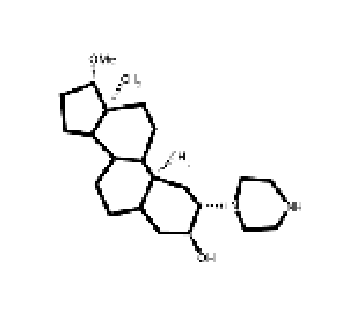 CO[C@H]1CCC2C3CCC4C[C@H](O)[C@@H](N5CCNCC5)C[C@]4(C)C3CC[C@@]21C